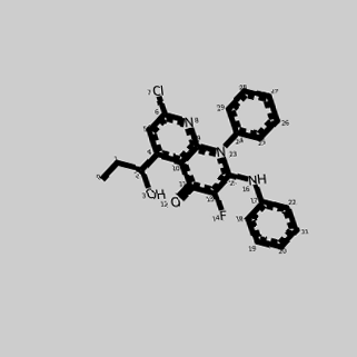 CCC(O)c1cc(Cl)nc2c1c(=O)c(F)c(Nc1ccccc1)n2-c1ccccc1